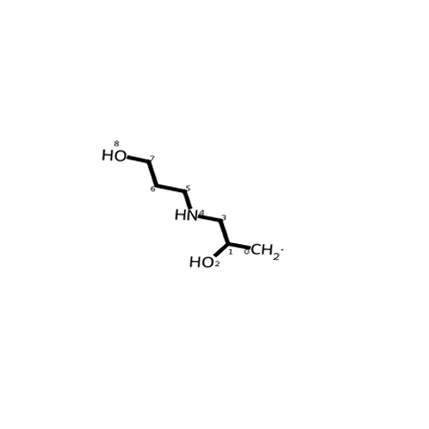 [CH2]C(O)CNCCCO